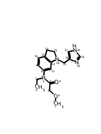 CCN(C(=O)COC)c1ccc2c(c1)N(Cc1c[nH]cn1)CC2